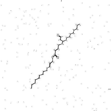 CCCCCCCCCCC=CCOC(=O)CCCCC(CC=O)CCCCCCCCC